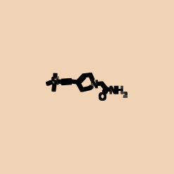 C[Si](C)(C)C#CC1=CCN(CC(N)=O)CC1